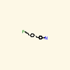 N#Cc1ccc(CC[C@H]2CC[C@H](CCC=CF)CC2)cc1